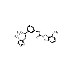 Cc1cccc2c1CN(C(=O)Nc1cccc([C@H](C)Cc3nncn3C)c1)C2